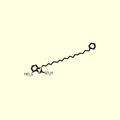 O=S(=O)(O)c1cccc2c1nc(S(=O)(=O)O)n2CCCCCCCCCCCCCCCCCCc1ccccc1